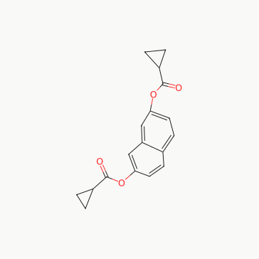 O=C(Oc1ccc2ccc(OC(=O)C3CC3)cc2c1)C1CC1